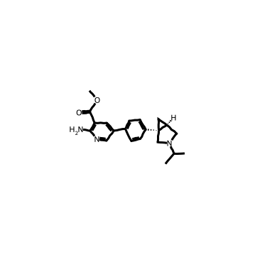 COC(=O)c1cc(-c2ccc([C@]34C[C@H]3CN(C(C)C)C4)cc2)cnc1N